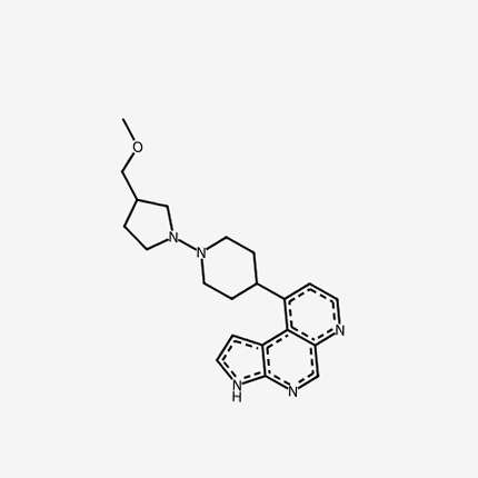 COCC1CCN(N2CCC(c3ccnc4cnc5[nH]ccc5c34)CC2)C1